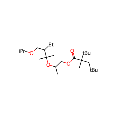 CCC(COC(C)C)C(C)(C)OC(C)COC(=O)C(C)(CC(C)(C)C)C(C)(C)C